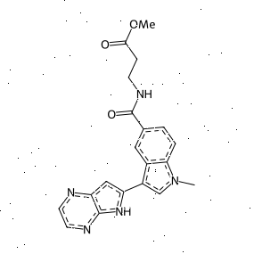 COC(=O)CCNC(=O)c1ccc2c(c1)c(-c1cc3nccnc3[nH]1)cn2C